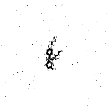 CCCCNc1c(-c2ccc(OCCOC)cc2)nc2ccc(C)nn12